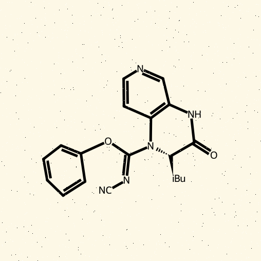 CC[C@H](C)[C@H]1C(=O)Nc2cnccc2N1/C(=N/C#N)Oc1ccccc1